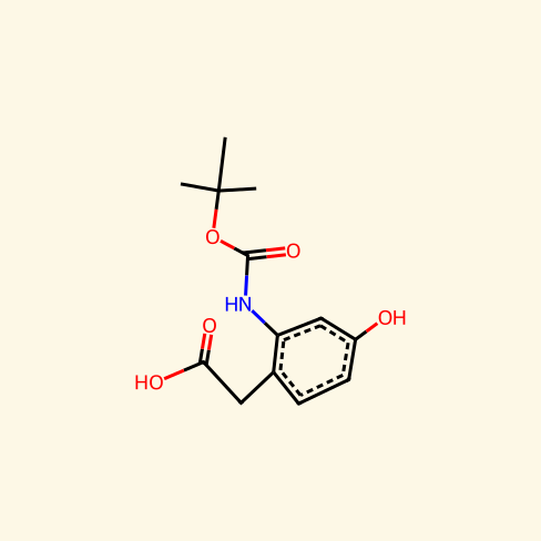 CC(C)(C)OC(=O)Nc1cc(O)ccc1CC(=O)O